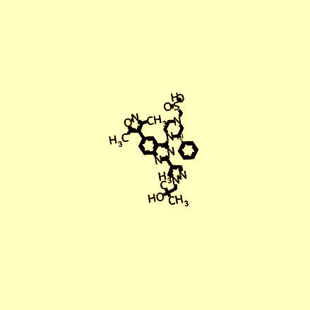 Cc1noc(C)c1-c1ccc2nc(-c3cnn(CC(C)(C)O)c3)nc(N3CCN(C[SH](=O)=O)C[C@@H]3c3ccccc3)c2c1